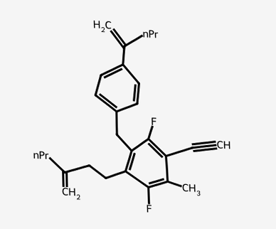 C#Cc1c(C)c(F)c(CCC(=C)CCC)c(Cc2ccc(C(=C)CCC)cc2)c1F